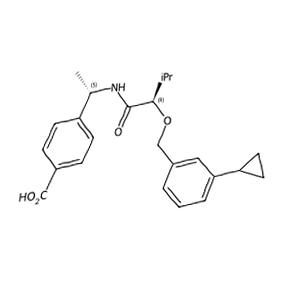 CC(C)[C@@H](OCc1cccc(C2CC2)c1)C(=O)N[C@@H](C)c1ccc(C(=O)O)cc1